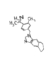 Cc1cc(Cn2cnc3cc4c(cc32)CCC4)ccc1C(C)N